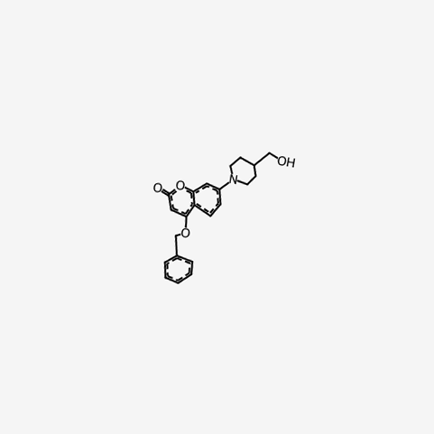 O=c1cc(OCc2ccccc2)c2ccc(N3CCC(CO)CC3)cc2o1